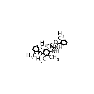 Cc1ccccc1Oc1c(C)c(C)c(NC(=S)NC(=O)c2ccccc2C)c(C)c1C